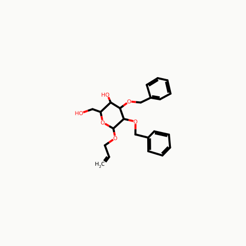 C=CCOC1OC(CO)C(O)C(OCc2ccccc2)C1OCc1ccccc1